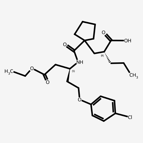 CCC[C@H](CC1(C(=O)N[C@@H](CCOc2ccc(Cl)cc2)CC(=O)OCC)CCCC1)C(=O)O